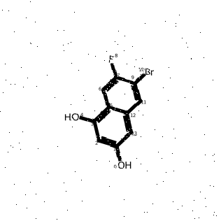 Oc1cc(O)c2cc(F)c(Br)cc2c1